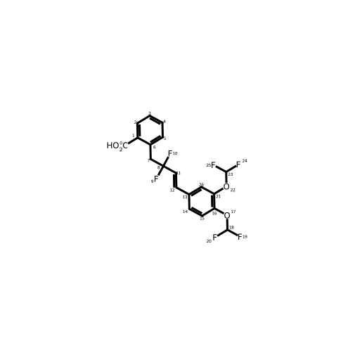 O=C(O)c1ccccc1CC(F)(F)/C=C/c1ccc(OC(F)F)c(OC(F)F)c1